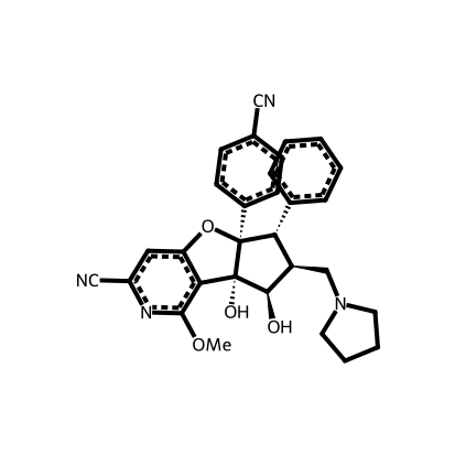 COc1nc(C#N)cc2c1[C@]1(O)[C@H](O)[C@H](CN3CCCC3)[C@@H](c3ccccc3)[C@]1(c1ccc(C#N)cc1)O2